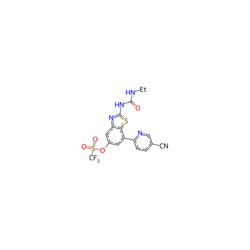 CCNC(=O)Nc1nc2cc(OS(=O)(=O)C(F)(F)F)cc(-c3ccc(C#N)cn3)c2s1